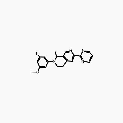 COc1cc(F)cc(N2CCc3cc(-c4ncccn4)ncc3C2C)c1